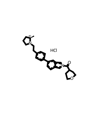 C[C@@H]1CCCN1CCc1ccc(-c2ccc3cn(C(=O)C4CCOCC4)cc3c2)cc1.Cl